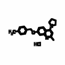 Cc1cc(N2CCCC2)c2ccc(OCc3ccc(C(F)(F)F)cc3)cc2n1.Cl